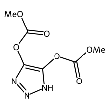 COC(=O)Oc1nn[nH]c1OC(=O)OC